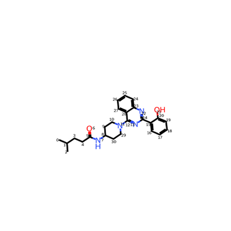 CC(C)CCC(=O)NC1CCN(c2nc(-c3ccccc3O)nc3ccccc23)CC1